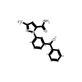 NC(=O)c1cc(C(F)(F)F)nn1-c1cccc(C(Cl)c2ccccc2)c1